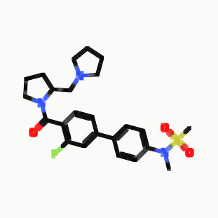 CN(c1ccc(-c2ccc(C(=O)N3CCCC3CN3CCCC3)c(F)c2)cc1)S(C)(=O)=O